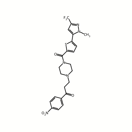 Cn1nc(C(F)(F)F)cc1-c1ccc(C(=O)N2CCN(CCC(=O)c3ccc([N+](=O)[O-])cc3)CC2)s1